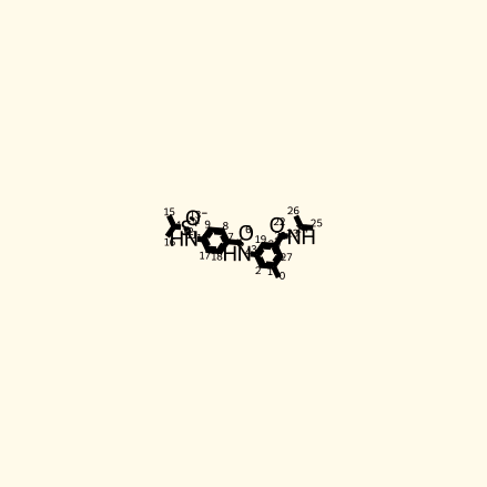 Cc1cc(NC(=O)c2ccc(N[S+]([O-])C(C)C)cc2)cc(C(=O)NC(C)C)c1